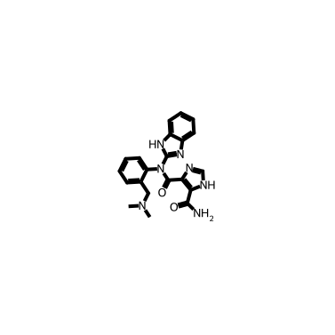 CN(C)Cc1ccccc1N(C(=O)c1nc[nH]c1C(N)=O)c1nc2ccccc2[nH]1